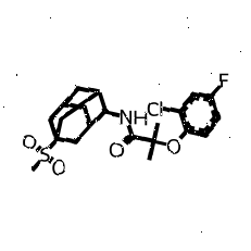 CC(C)(Oc1ccc(F)cc1Cl)C(=O)NC1C2CC3CC1CC(S(C)(=O)=O)(C3)C2